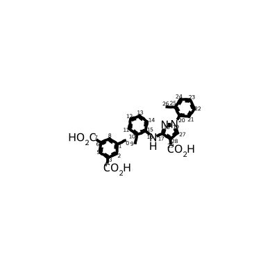 Cc1cc(C(=O)O)cc(C(=O)O)c1.Cc1ccccc1Nc1nn(-c2ccccc2C)cc1C(=O)O